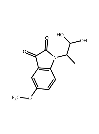 CC(C(O)O)N1C(=O)C(=O)c2cc(OC(F)(F)F)ccc21